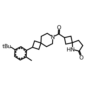 Cc1ccc(C(C)(C)C)cc1C1CC2(CCN(C(=O)C3CC4(CCC(=O)N4)C3)CC2)C1